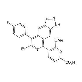 COc1cc(C(=O)O)ccc1-c1nc(C(C)C)c(-c2ccc(F)cc2)c2cc3cn[nH]c3cc12